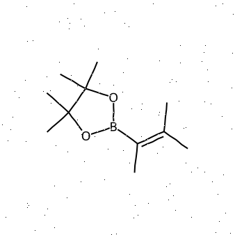 CC(C)=C(C)B1OC(C)(C)C(C)(C)O1